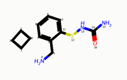 C1CCC1.NCc1ccccc1SNC(N)=O